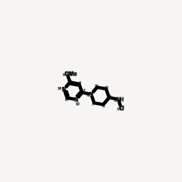 COc1cc(N2CCC(NCl)CC2)ncn1